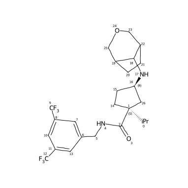 CC(C)[C@]1(C(=O)NCc2cc(C(F)(F)F)cc(C(F)(F)F)c2)CC[C@@H](NC2C3CCC2COC3)C1